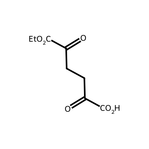 CCOC(=O)C(=O)CCC(=O)C(=O)O